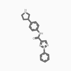 O=C(Nc1ccc(C2CCNC2)cc1)c1cnn(-c2ccccc2)n1